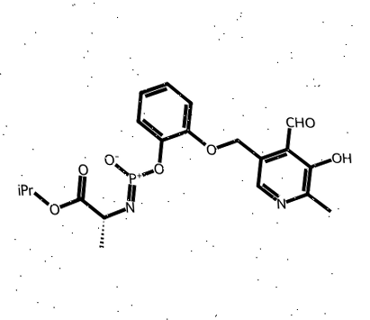 Cc1ncc(COc2ccccc2O[P+]([O-])=N[C@H](C)C(=O)OC(C)C)c(C=O)c1O